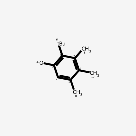 Cc1cc([O])c(C(C)(C)C)c(C)c1C